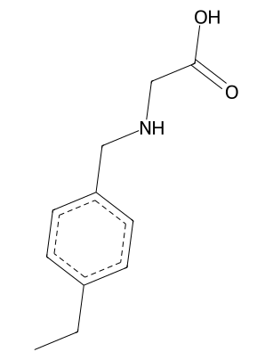 CCc1ccc(CNCC(=O)O)cc1